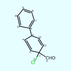 O=[C]C1(Cl)C=CC(c2ccccc2)C=C1